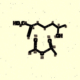 C=C(CCCC(C)O)C(=O)O.CC(=O)OC(C)=O